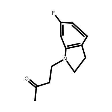 CC(=O)CCN1CCc2ccc(F)cc21